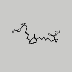 Cc1c(CCCCCCC2(C(=O)O)CC2)cccc1CCCCC1(OC=O)CC1